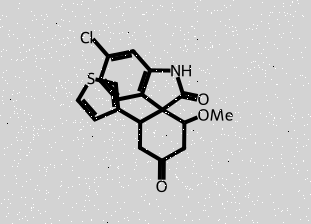 COC1CC(=O)CC(c2ccsc2)C12C(=O)Nc1cc(Cl)ccc12